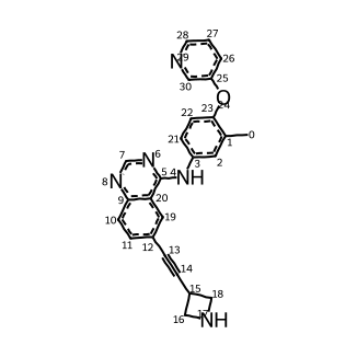 Cc1cc(Nc2ncnc3ccc(C#CC4CNC4)cc23)ccc1Oc1cccnc1